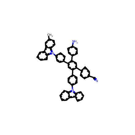 Cc1ccc2c(c1)c1ccccc1n2-c1ccc(-c2cc(-c3ccc(-n4c5ccccc5c5ccccc54)cc3)c(-c3ccc(C#N)cc3)cc2-c2ccc(N)cc2)cc1